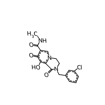 CNC(=O)c1cn2c(c(O)c1=O)C(=O)N(Cc1cccc(Cl)c1)CC2